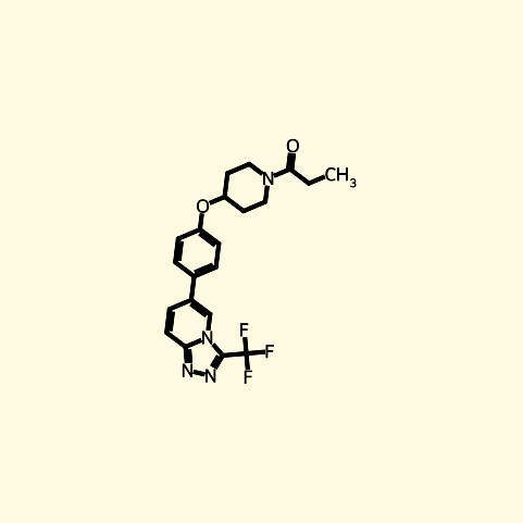 CCC(=O)N1CCC(Oc2ccc(-c3ccc4nnc(C(F)(F)F)n4c3)cc2)CC1